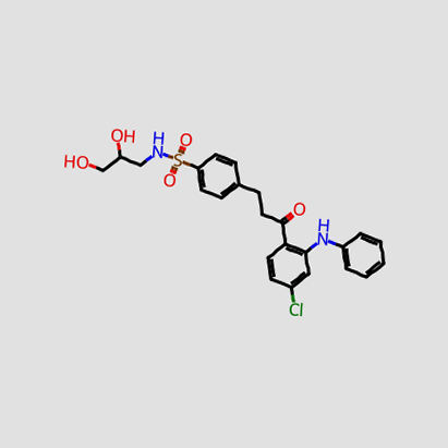 O=C(CCc1ccc(S(=O)(=O)NCC(O)CO)cc1)c1ccc(Cl)cc1Nc1ccccc1